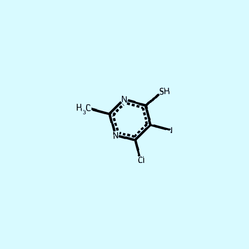 Cc1nc(S)c(I)c(Cl)n1